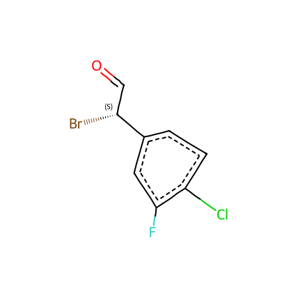 O=C[C@@H](Br)c1ccc(Cl)c(F)c1